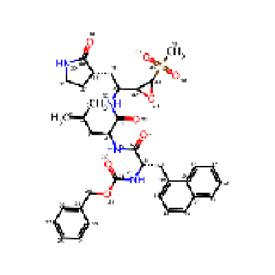 CC(C)C[C@H](NC(=O)[C@H](Cc1cccc2ccccc12)NC(=O)OCc1ccccc1)C(=O)NC(C[C@@H]1CCNC1=O)C1OC1S(C)(=O)=O